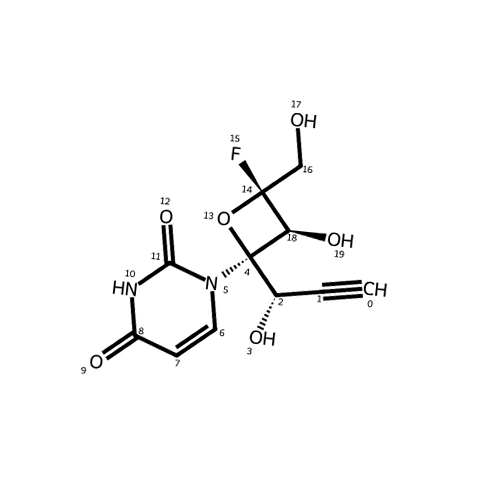 C#C[C@H](O)[C@@]1(n2ccc(=O)[nH]c2=O)O[C@](F)(CO)[C@H]1O